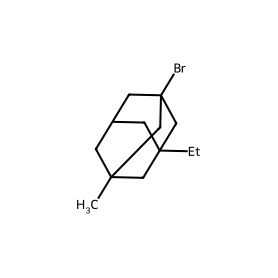 CCC12CC3CC(C)(CC(Br)(C3)C1)C2